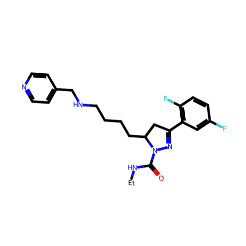 CCNC(=O)N1N=C(c2cc(F)ccc2F)CC1CCCCNCc1ccncc1